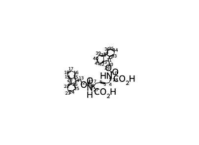 O=C(N[C@@H](CC#CC[C@H](NC(=O)OCC1c2ccccc2-c2ccccc21)C(=O)O)C(=O)O)OCC1c2ccccc2-c2ccccc21